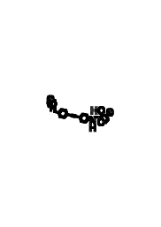 O=c1ccoc(CNc2ccc(C#Cc3ccc(CN4CCOCC4)cc3)cc2)c1O